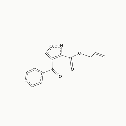 C=CCOC(=O)c1nocc1C(=O)c1ccccc1